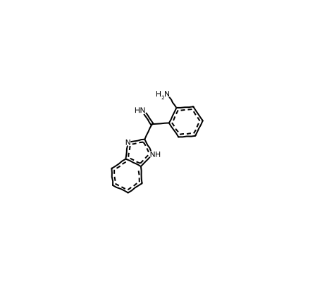 N=C(c1nc2ccccc2[nH]1)c1ccccc1N